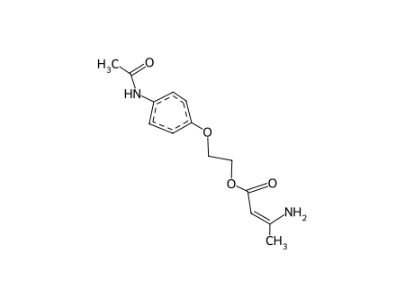 CC(=O)Nc1ccc(OCCOC(=O)/C=C(/C)N)cc1